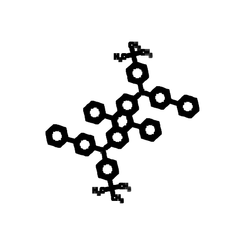 C[Si](C)(C)c1ccc(N(c2ccc(-c3ccccc3)cc2)c2ccc3c(-c4ccccc4)c4cc(N(c5ccc(-c6ccccc6)cc5)c5ccc([Si](C)(C)C)cc5)ccc4c(-c4ccccc4)c3c2)cc1